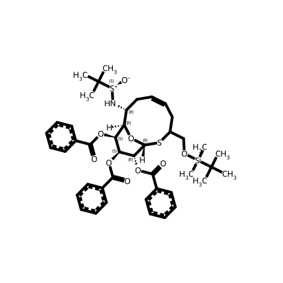 CC(C)(C)[S@@+]([O-])N[C@@H]1CC=CCC(CO[Si](C)(C)C(C)(C)C)S[C@H]2O[C@H]1[C@H](OC(=O)c1ccccc1)[C@H](OC(=O)c1ccccc1)[C@H]2OC(=O)c1ccccc1